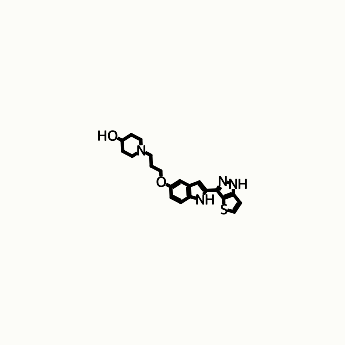 OC1CCN(CCCOc2ccc3[nH]c(-c4n[nH]c5ccsc45)cc3c2)CC1